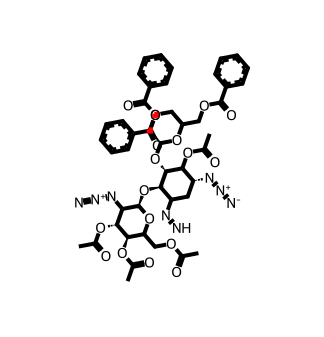 CC(=O)OCC1O[C@H](O[C@@H]2C(N=N)C[C@@H](N=[N+]=[N-])C(OC(C)=O)[C@H]2O[C@@H](COC(=O)c2ccccc2)OC(COC(=O)c2ccccc2)COC(=O)c2ccccc2)C(N=[N+]=[N-])[C@@H](OC(C)=O)[C@@H]1OC(C)=O